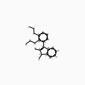 CCCc1cccc(C2=C(C)[C](C)c3ccccc32)c1CCC